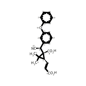 CC1(C)[C@H](C=CC(=O)O)[C@@]1(C(=O)O)[C@@H](C#N)c1cccc(Oc2ccccc2)c1